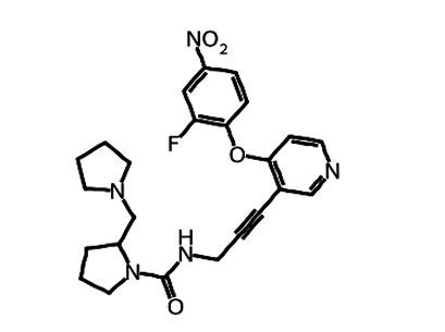 O=C(NCC#Cc1cnccc1Oc1ccc([N+](=O)[O-])cc1F)N1CCCC1CN1CCCC1